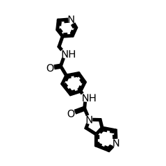 O=C(NCc1ccncc1)c1ccc(NC(=O)N2Cc3ccncc3C2)cc1